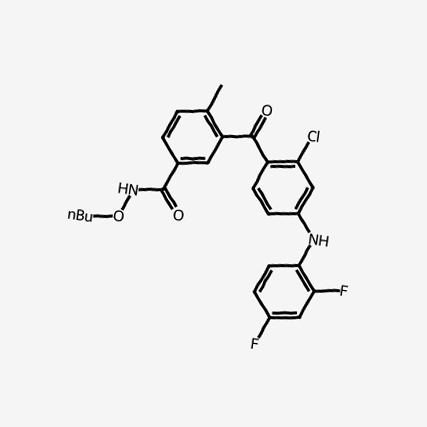 CCCCONC(=O)c1ccc(C)c(C(=O)c2ccc(Nc3ccc(F)cc3F)cc2Cl)c1